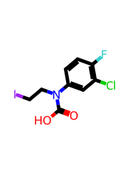 O=C(O)N(CCI)c1ccc(F)c(Cl)c1